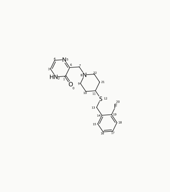 O=c1[nH]ccnc1CN1CCC(SCc2ccccc2F)CC1